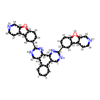 c1ccc2c(c1)c1cnc(-c3ccc4oc5cnccc5c4c3)nc1c1nc(-c3ccc4oc5cnccc5c4c3)ncc21